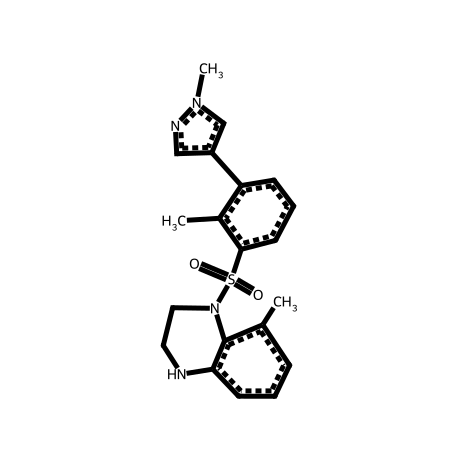 Cc1cccc2c1N(S(=O)(=O)c1cccc(-c3cnn(C)c3)c1C)CCN2